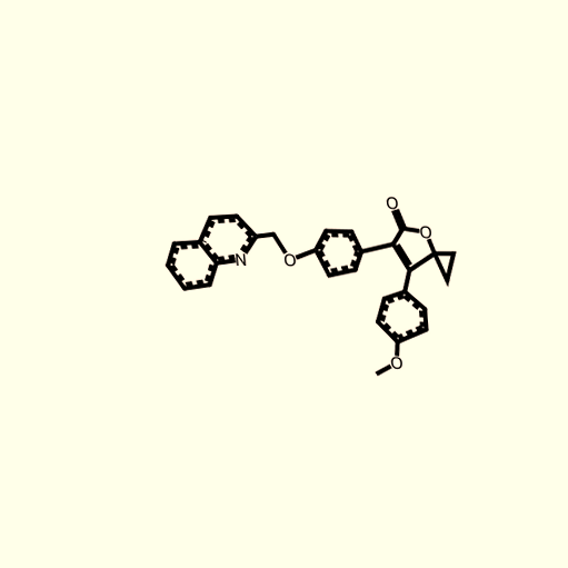 COc1ccc(C2=C(c3ccc(OCc4ccc5ccccc5n4)cc3)C(=O)OC23CC3)cc1